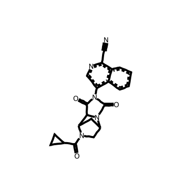 N#Cc1ncc(N2C(=O)C3C4CC(CN4C(=O)C4CC4)N3C2=O)c2ccccc12